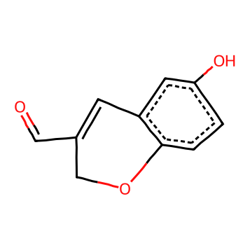 O=CC1=Cc2cc(O)ccc2OC1